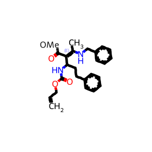 C=CCOC(=O)NC(CCc1ccccc1)/C(C(=O)OC)=C(/C)NCc1ccccc1